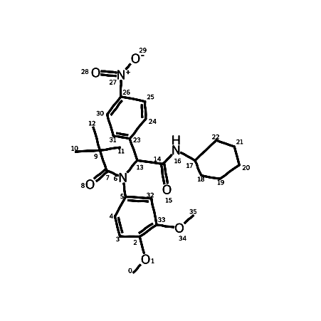 COc1ccc(N(C(=O)C(C)(C)C)C(C(=O)NC2CCCCC2)c2ccc([N+](=O)[O-])cc2)cc1OC